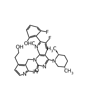 CC(C)c1nccc(CCO)c1Cn1c(=O)nc(N2C[C@@H](C)CC[C@@H]2C)c2cc(F)c(-c3c(F)cccc3C=O)nc21